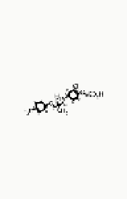 CC(C)(COc1ccc(C(F)(F)F)cc1)CSc1ccc(OCC(=O)O)c(Cl)c1